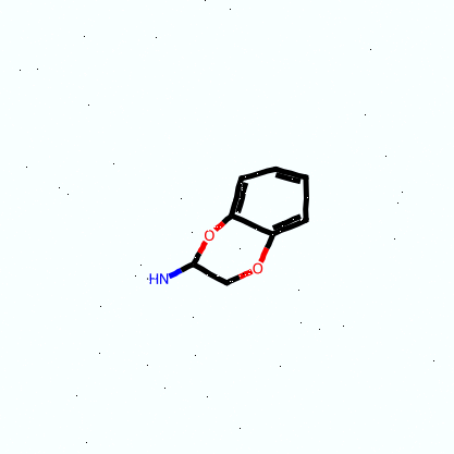 [NH]C1COc2ccccc2O1